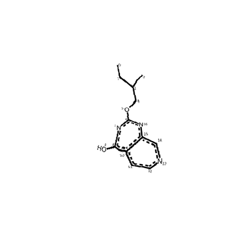 CCC(C)COc1nc(O)c2ccncc2n1